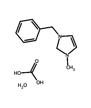 CN1C=CN(Cc2ccccc2)C1.O.O=C(O)O